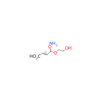 N.O=C(O)/C=C/C(=O)OCCO